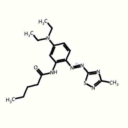 CCCCC(=O)Nc1cc(N(CC)CC)ccc1/N=N/c1nc(C)ns1